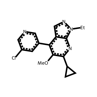 CCn1ncc2c(-c3cncc(Cl)c3)c(OC)c(C3CC3)nc21